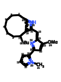 CCCCC1CCCCCCc2cc1c(C=C1N=C(c3cccn3C)C=C1OC)[nH]2